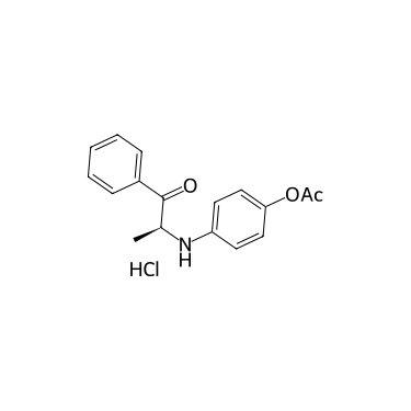 CC(=O)Oc1ccc(N[C@@H](C)C(=O)c2ccccc2)cc1.Cl